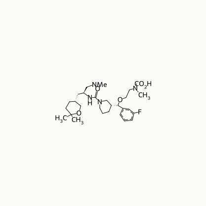 CNC[C@H](C[C@H]1CCC(C)(C)OC1)NC(=O)N1CCC[C@@H](C(OCCN(C)C(=O)O)c2cccc(F)c2)C1